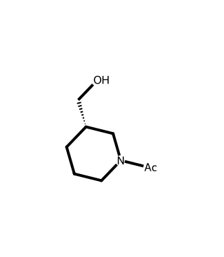 CC(=O)N1CCC[C@H](CO)C1